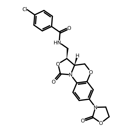 O=C(NC[C@@H]1OC(=O)N2c3ccc(N4CCOC4=O)cc3OC[C@@H]12)c1ccc(Cl)cc1